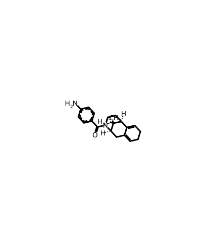 CC1(C)[C@H]2CCN(C(=O)c3ccc(N)cc3)[C@@H]1CC1=CCCC=C12